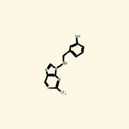 Oc1cccc(CNn2cnc3cnc(C(F)(F)F)nc32)c1